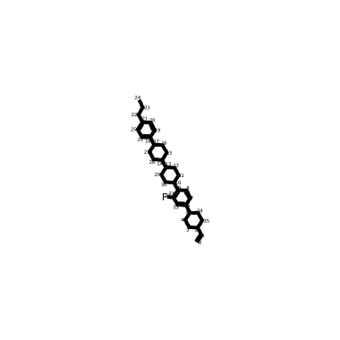 C=CC1CCC(c2ccc(C3CCC(C4CCC(c5ccc(CCC)cc5)CC4)CC3)c(F)c2)CC1